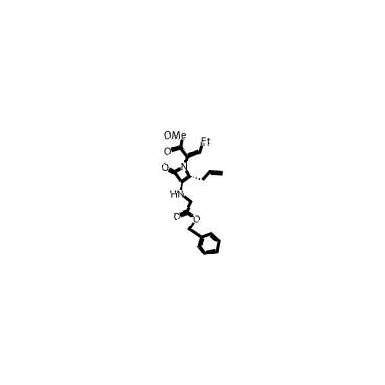 C=CC[C@@H]1[C@@H](NCC(=O)OCc2ccccc2)C(=O)N1C(=CCC)C(=O)OC